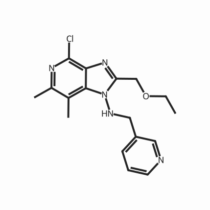 CCOCc1nc2c(Cl)nc(C)c(C)c2n1NCc1cccnc1